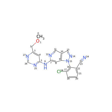 COCc1cc(Nc2cc3c(cn2)cnn3-c2c(Cl)cccc2C#N)ncn1